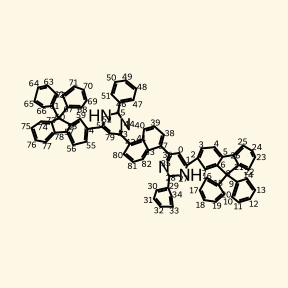 C1=C(c2ccc3c(c2)C(c2ccccc2)(c2ccccc2)c2ccccc2-3)NC(c2ccccc2)N=C1c1cccc2c(C3=NC(c4ccccc4)NC(c4ccc5c(c4)C(c4ccccc4)(c4ccccc4)c4ccccc4-5)=C3)cccc12